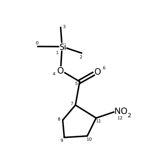 C[Si](C)(C)OC(=O)C1CCCC1[N+](=O)[O-]